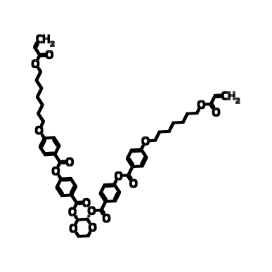 C=CC(=O)OCCCCCCCOc1ccc(C(=O)Oc2ccc(C(=O)O[C@@H]3OCCO[C@H]3OC(=O)c3ccc(OC(=O)c4ccc(OCCCCCCCOC(=O)C=C)cc4)cc3)cc2)cc1